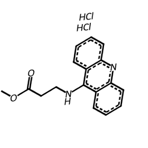 COC(=O)CCNc1c2ccccc2nc2ccccc12.Cl.Cl